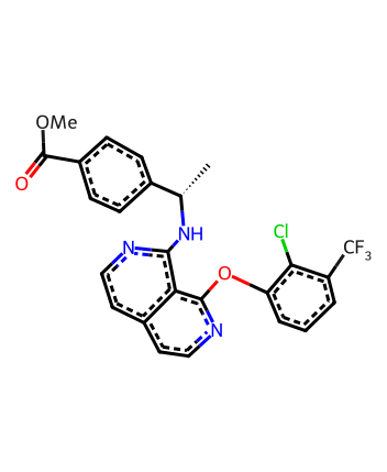 COC(=O)c1ccc([C@H](C)Nc2nccc3ccnc(Oc4cccc(C(F)(F)F)c4Cl)c23)cc1